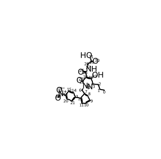 CCCc1nn(Cc2ccccc2-c2ccc([N+](=O)[O-])cc2)c(=O)c(C(=O)NCC(=O)O)c1O